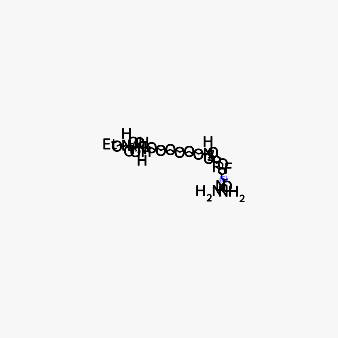 CCOCCNC(=O)[C@H](O)[C@@H](O)C(=O)NCCOCCOCCOCCOCCOCCOCCNS(=O)(=O)c1ccc(Oc2c(F)cc(/C=C(\C)C(=O)N=C(N)N)cc2F)cc1